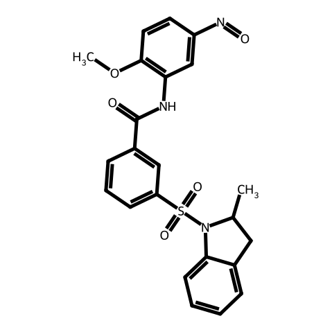 COc1ccc(N=O)cc1NC(=O)c1cccc(S(=O)(=O)N2c3ccccc3CC2C)c1